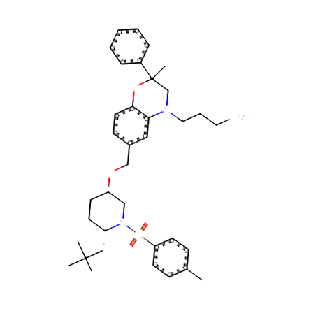 COCCCN1CC(C)(c2ccccc2)Oc2ccc(CO[C@@H]3CC[C@@H](CC(C)(C)C(=O)O)N(S(=O)(=O)c4ccc(C)cc4)C3)cc21